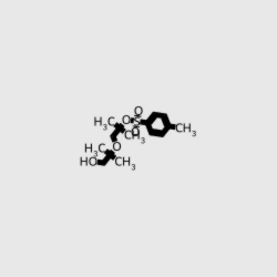 Cc1ccc(S(=O)(=O)OC(C)(C)COC(C)(C)CO)cc1